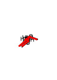 CCCCCCCCCCCCOC(=O)c1ccc(NN2CN(Nc3ccc(C(=O)OCCCCCCCCCCCC)cc3)CN(Nc3ccc(C(=O)OCCCCCCCCCCCC)cc3)C2)cc1